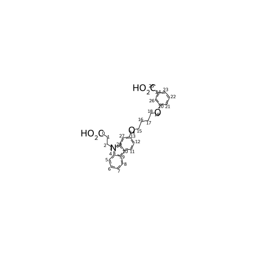 O=C(O)CCn1c2ccccc2c2ccc(OCCCCOc3cccc(C(=O)O)c3)cc21